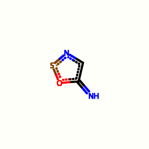 N=c1cnso1